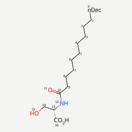 CCCCCCCCCCCCCCCCCCCC(=O)N[C@@H](CO)C(=O)O